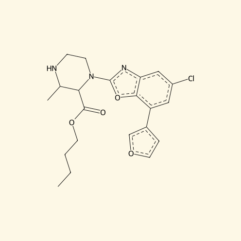 CCCCOC(=O)C1C(C)NCCN1c1nc2cc(Cl)cc(-c3ccoc3)c2o1